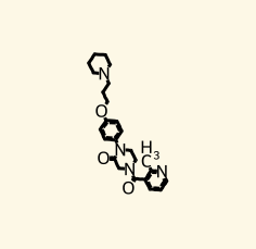 Cc1ncccc1C(=O)N1CCN(c2ccc(OCCCN3CCCCC3)cc2)C(=O)C1